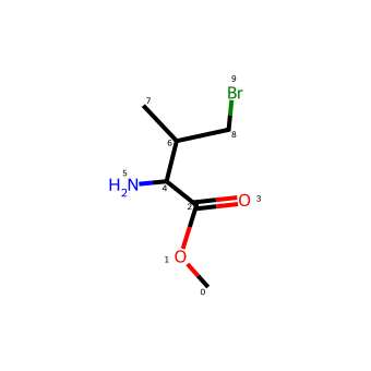 COC(=O)C(N)C(C)CBr